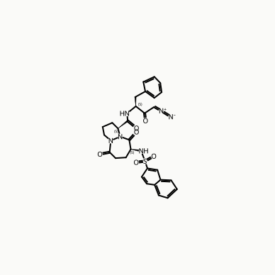 [N-]=[N+]=CC(=O)[C@H](Cc1ccccc1)NC(=O)[C@@H]1CCCN2C(=O)CC[C@H](NS(=O)(=O)c3ccc4ccccc4c3)C(=O)N12